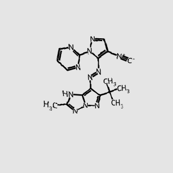 [C-]#[N+]c1cnn(-c2ncccn2)c1/N=N/c1c(C(C)(C)C)nn2nc(C)[nH]c12